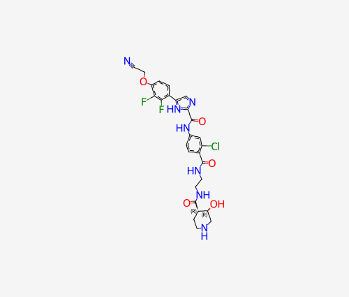 N#CCOc1ccc(-c2cnc(C(=O)Nc3ccc(C(=O)NCCNC(=O)[C@@H]4CCNC[C@@H]4O)c(Cl)c3)[nH]2)c(F)c1F